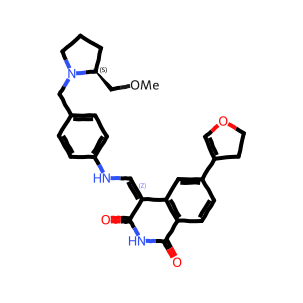 COC[C@@H]1CCCN1Cc1ccc(N/C=C2\C(=O)NC(=O)c3ccc(C4=COCC4)cc32)cc1